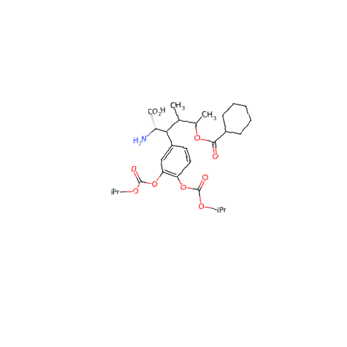 CC(C)OC(=O)Oc1ccc(C(C(C)C(C)OC(=O)C2CCCCC2)[C@H](N)C(=O)O)cc1OC(=O)OC(C)C